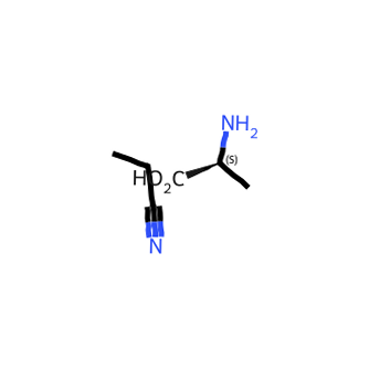 CCC#N.C[C@H](N)C(=O)O